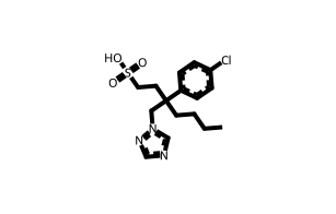 CCCCC(CCS(=O)(=O)O)(Cn1cncn1)c1ccc(Cl)cc1